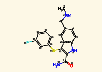 CNCc1ccc2[nH]c(C(N)=O)c(Sc3cccc(F)c3)c2c1